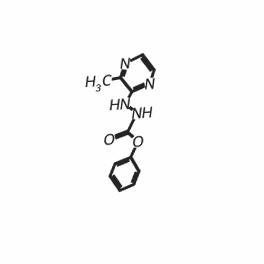 Cc1nccnc1NNC(=O)Oc1ccccc1